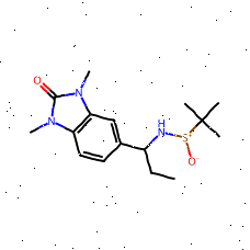 CCC(N[S+]([O-])C(C)(C)C)c1ccc2c(c1)n(C)c(=O)n2C